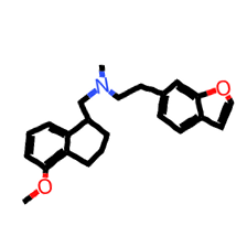 COc1cccc2c1CCCC2CN(C)CCc1ccc2ccoc2c1